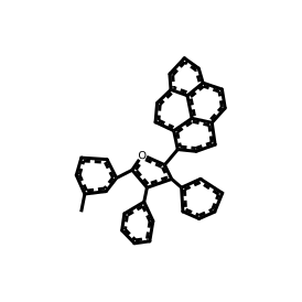 Cc1cccc(-c2oc(-c3ccc4ccc5cccc6ccc3c4c56)c(-c3ccccc3)c2-c2ccccc2)c1